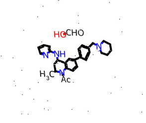 CC(=O)N1c2ccc(-c3ccc(CN4CCCCC4)cc3)cc2C(Nc2ccccn2)CC1C.O=CO